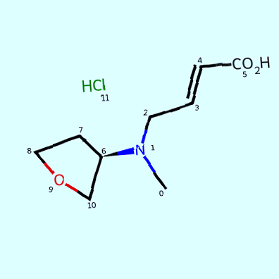 CN(CC=CC(=O)O)[C@@H]1CCOC1.Cl